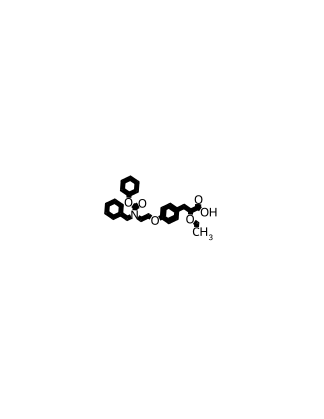 CCOC(Cc1ccc(OCCN(CC2CCCCC2)C(=O)OC2CCCCC2)cc1)C(=O)O